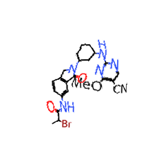 COc1nc(N[C@@H]2CCC[C@H](N3Cc4ccc(NC(=O)C(C)Br)cc4C3=O)C2)ncc1C#N